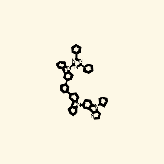 c1ccc(-c2nc(-c3ccccc3)nc(-n3c4ccccc4c4cc(-c5cccc(-c6ccc7c(c6)c6ccccc6n7-c6ccc7c(c6)c6ncccc6n7-c6ccccc6)c5)ccc43)n2)cc1